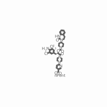 CCCCCOC(=O)c1ccc(N2CCN(C(=O)[C@@H](Cc3cc(Cl)c(N)c(C(F)(F)F)c3)OC(=O)N3CCC(N4CCc5ccccc5NC4=O)CC3)CC2)nc1